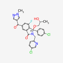 CC(O)CO[C@]1(c2ccc(Cl)cc2)c2c(F)cc(C(=O)c3cnn(C)c3)cc2C(=O)N1Cc1ccc(Cl)cn1